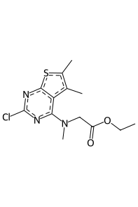 CCOC(=O)CN(C)c1nc(Cl)nc2sc(C)c(C)c12